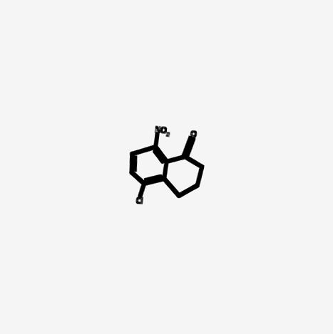 O=C1CCCc2c(Cl)ccc([N+](=O)[O-])c21